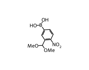 COC(OC)c1cc(B(O)O)ccc1[N+](=O)[O-]